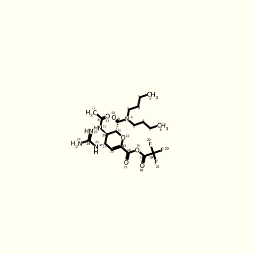 CCCCN(CCCC)C(=O)[C@@H]1OC(C(=O)OC(=O)C(F)(F)F)=C[C@H](NC(=N)N)[C@H]1NC(C)=O